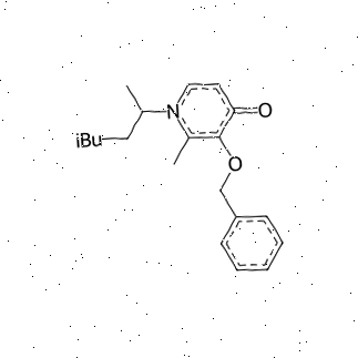 CCC(C)CC(C)n1ccc(=O)c(OCc2ccccc2)c1C